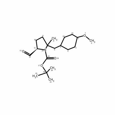 COC1CCC(CC2(C)CC[C@H](C=O)N2C(=O)OC(C)(C)C)CC1